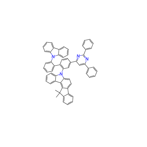 CC1(C)c2ccccc2-c2ccc3c(c21)c1ccccc1n3-c1cc(-c2cc(-c3ccccc3)nc(-c3ccccc3)n2)ccc1-c1ccccc1-n1c2ccccc2c2ccccc21